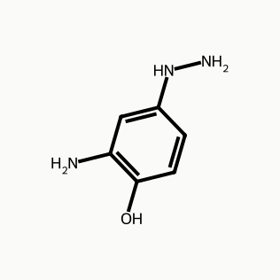 NNc1ccc(O)c(N)c1